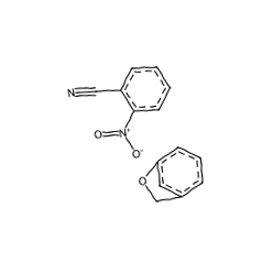 N#Cc1ccccc1[N+](=O)[O-].c1cc2cc(c1)OC2